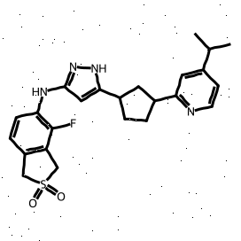 CC(C)c1ccnc(C2CCC(c3cc(Nc4ccc5c(c4F)CS(=O)(=O)C5)n[nH]3)C2)c1